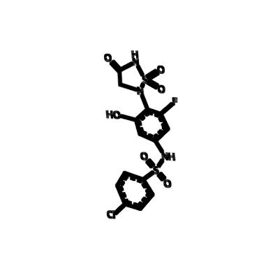 O=C1CN(c2c(O)cc(NS(=O)(=O)c3ccc(Cl)cc3)cc2F)S(=O)(=O)N1